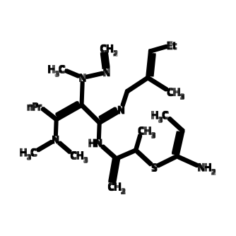 C=NN(C)C(/C(=N\C/C(C)=C/CC)NC(=C)C(C)S/C(N)=C\C)=C(\CCC)N(C)C